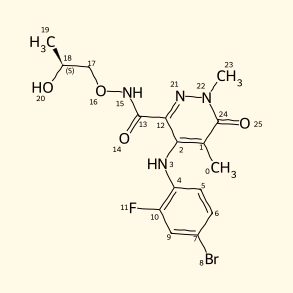 Cc1c(Nc2ccc(Br)cc2F)c(C(=O)NOC[C@H](C)O)nn(C)c1=O